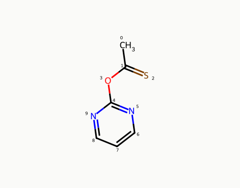 CC(=S)Oc1ncccn1